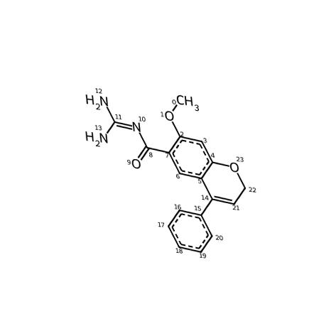 COc1cc2c(cc1C(=O)N=C(N)N)C(c1ccccc1)=CCO2